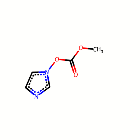 COC(=O)On1ccnc1